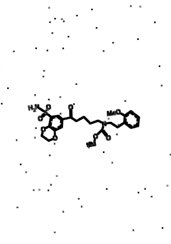 COc1ccccc1CCN(CCCCC(=O)c1cc2c(c(S(N)(=O)=O)c1)OCCO2)C(=O)OC(C)(C)C